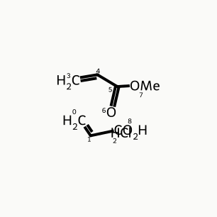 C=CC(=O)O.C=CC(=O)OC.Cl